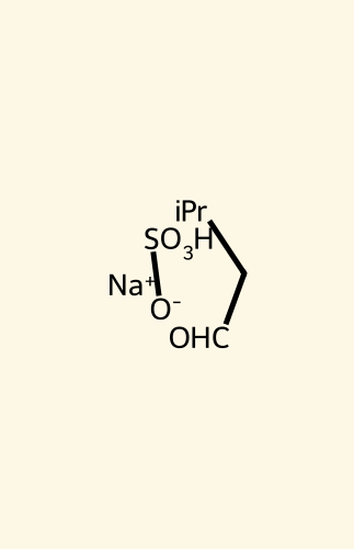 CC(C)CC=O.O=S(=O)([O-])O.[Na+]